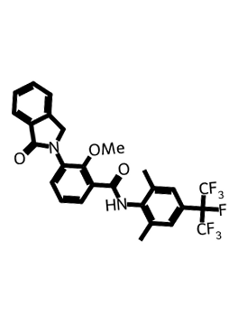 COc1c(C(=O)Nc2c(C)cc(C(F)(C(F)(F)F)C(F)(F)F)cc2C)cccc1N1Cc2ccccc2C1=O